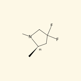 C[C@@H]1CC(F)(F)CN1C